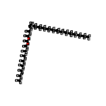 CC(C)CCO.ClC(Cl)Cl.ClC(Cl)Cl.ClC(Cl)Cl.ClC(Cl)Cl.ClC(Cl)Cl.ClC(Cl)Cl.ClC(Cl)Cl.ClC(Cl)Cl.ClC(Cl)Cl.ClC(Cl)Cl.ClC(Cl)Cl.ClC(Cl)Cl.ClC(Cl)Cl.ClC(Cl)Cl.ClC(Cl)Cl.ClC(Cl)Cl.ClC(Cl)Cl.ClC(Cl)Cl.ClC(Cl)Cl.ClC(Cl)Cl.ClC(Cl)Cl.ClC(Cl)Cl.ClC(Cl)Cl.ClC(Cl)Cl